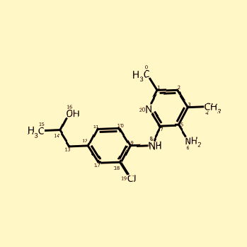 Cc1cc(C)c(N)c(Nc2ccc(CC(C)O)cc2Cl)n1